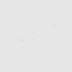 Cc1nc(-c2cncnc2)cnc1NC(=O)OC(C)(C)C